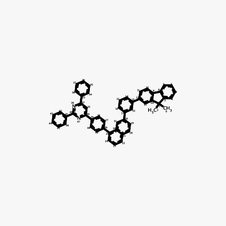 CC1(C)c2ccccc2-c2ccc(-c3cccc(-c4ccc5cccc(-c6ccc(-c7cc(-c8ccccc8)nc(-c8ccccc8)n7)cc6)c5c4)c3)cc21